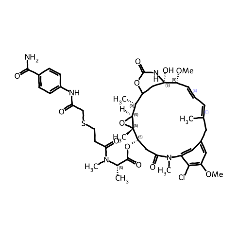 COc1cc2cc(c1Cl)N(C)C(=O)C[C@H](OC(=O)[C@H](C)N(C)C(=O)CCSCC(=O)Nc1ccc(C(N)=O)cc1)[C@]1(C)O[C@H]1[C@H](C)C1C[C@@](O)(NC(=O)O1)[C@H](OC)/C=C/C=C(\C)C2